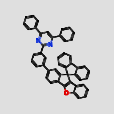 c1ccc(-c2cc(-c3ccccc3)nc(-c3cccc(-c4ccc5c(c4)C4(c6ccccc6-c6ccccc64)c4c-5oc5ccccc45)c3)n2)cc1